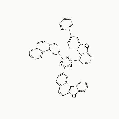 c1ccc(-c2ccc3c(c2)oc2cccc(-c4nc(-c5ccc6ccc7ccccc7c6c5)nc(-c5ccc6ccc7oc8ccccc8c7c6c5)n4)c23)cc1